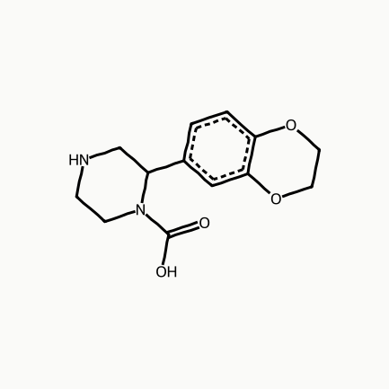 O=C(O)N1CCNCC1c1ccc2c(c1)OCCO2